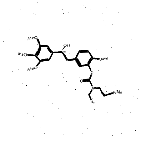 CNCCN(CC(C)=O)C(=O)Oc1cc(C[C@@H](O)c2cc(OC)c(OC)c(OC)c2)ccc1OC